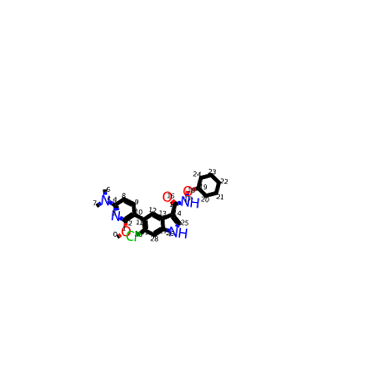 COc1nc(N(C)C)ccc1-c1cc2c(C(=O)NOC3CCCCC3)c[nH]c2cc1Cl